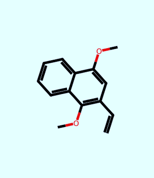 C=Cc1cc(OC)c2ccccc2c1OC